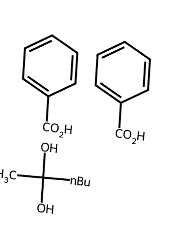 CCCCC(C)(O)O.O=C(O)c1ccccc1.O=C(O)c1ccccc1